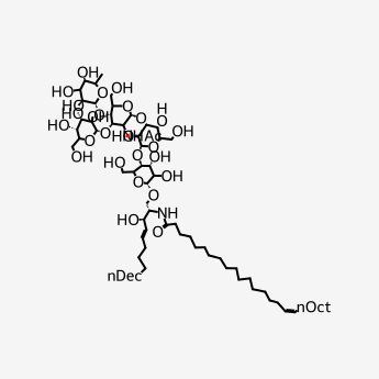 CCCCCCCC/C=C\CCCCCCCCCCCCCCCC(=O)N[C@@H](CO[C@@H]1OC(CO)[C@@H](O[C@@H]2OC(CO)[C@H](O)[C@H](O[C@@H]3OC(CO)[C@@H](O[C@H]4OC(C)[C@@H](O)C(O)[C@@H]4O)[C@H](O[C@@H]4OC(CO)[C@H](O)[C@H](O)C4O)C3NC(C)=O)C2O)[C@H](O)C1O)[C@H](O)/C=C/CCCCCCCCCCCCC